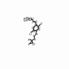 Cc1cc(CCCC2(C)CC2)c(C)cc1CCCC(C)(C)C